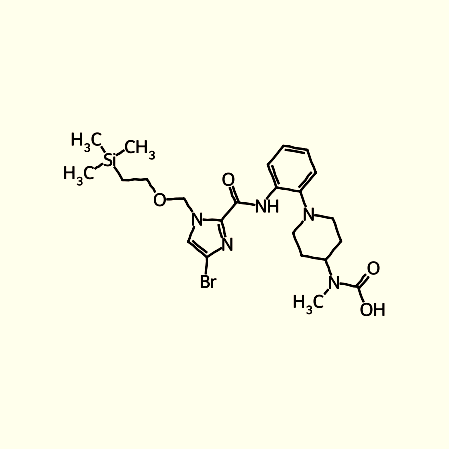 CN(C(=O)O)C1CCN(c2ccccc2NC(=O)c2nc(Br)cn2COCC[Si](C)(C)C)CC1